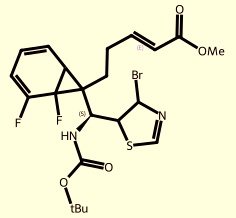 COC(=O)/C=C/CCC1([C@H](NC(=O)OC(C)(C)C)C2SC=NC2Br)C2C=CC=C(F)C21F